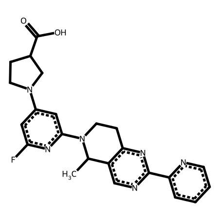 CC1c2cnc(-c3ccccn3)nc2CCN1c1cc(N2CCC(C(=O)O)C2)cc(F)n1